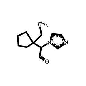 CCC1(C(C=O)n2ccnc2)CCCC1